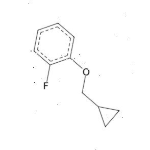 Fc1[c]cccc1OCC1CC1